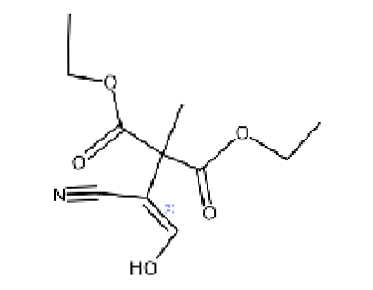 CCOC(=O)C(C)(C(=O)OCC)/C(C#N)=C/O